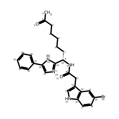 CC(=O)CCCCC[C@H](NC(=O)Cc1c[nH]c2ccc(Br)cc12)C1=[N+]C=C(c2ccccc2)N1